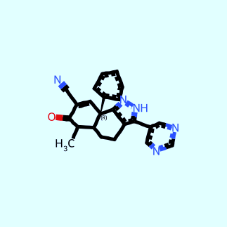 CC1C(=O)C(C#N)=C[C@]2(c3ccccc3)c3n[nH]c(-c4cncnc4)c3CCC12